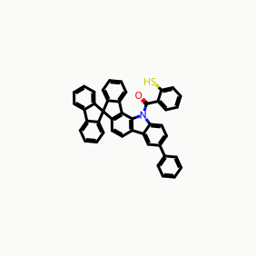 O=C(c1ccccc1S)n1c2ccc(-c3ccccc3)cc2c2ccc3c(c21)-c1ccccc1C31c2ccccc2-c2ccccc21